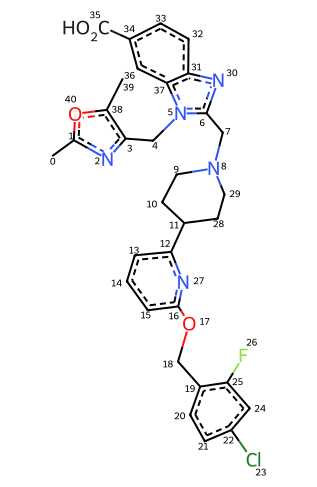 Cc1nc(Cn2c(CN3CCC(c4cccc(OCc5ccc(Cl)cc5F)n4)CC3)nc3ccc(C(=O)O)cc32)c(C)o1